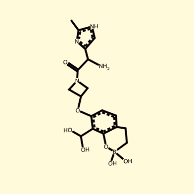 Cc1nc(C(N)C(=O)N2CC(Oc3ccc4c(c3C(O)O)O[B-](O)(O)CC4)C2)c[nH]1